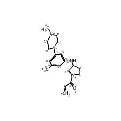 C=CC(=O)N1CCC(Nc2cc(N3CCN(C)CC3)cc(C(F)(F)F)c2)C1